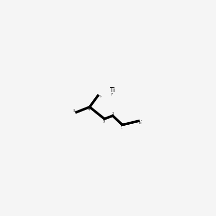 [CH2]CCCC(C)C.[Ti]